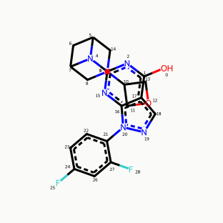 Oc1nc(N2C3CC2CN(C2COC2)C3)nc2c1cnn2-c1ccc(F)cc1F